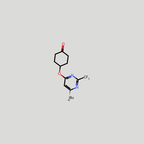 CC[C@@H](C)c1cc(OC2CCC(=O)CC2)nc(C(F)(F)F)n1